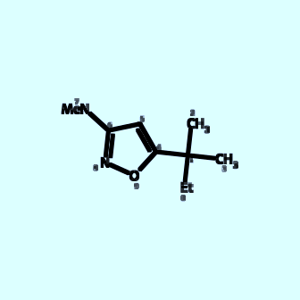 CCC(C)(C)c1cc(NC)no1